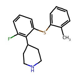 Cc1ccccc1Sc1cccc(F)c1C1CCNCC1